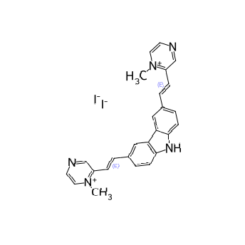 C[n+]1ccncc1/C=C/c1ccc2[nH]c3ccc(/C=C/c4cncc[n+]4C)cc3c2c1.[I-].[I-]